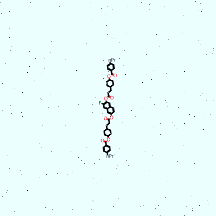 CCCc1ccc(C(=O)OC2CCC(CCC(=O)Oc3ccc4cc(OC(=O)CCC5CCC(OC(=O)c6ccc(CCC)cc6)CC5)c(F)cc4c3)CC2)cc1